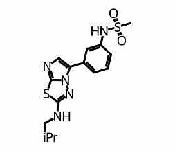 CC(C)CNc1nn2c(-c3cccc(NS(C)(=O)=O)c3)cnc2s1